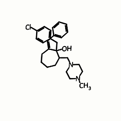 CN1CCN(CC2CCCCC(=Cc3ccccc3)C2(O)Cc2ccc(Cl)cc2)CC1